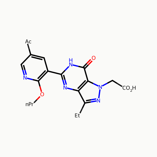 CCCOc1ncc(C(C)=O)cc1-c1nc2c(CC)nn(CC(=O)O)c2c(=O)[nH]1